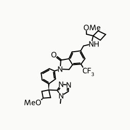 COCC1(NCc2cc3c(c(C(F)(F)F)c2)CN(c2cccc([C@]4(c5nncn5C)C[C@H](OC)C4)c2)C3=O)CCC1